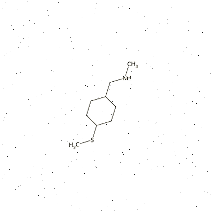 CNCC1CCC(SC)CC1